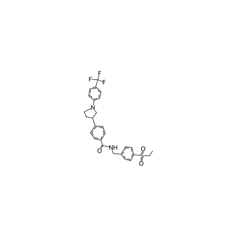 CCS(=O)(=O)c1ccc(CNC(=O)c2ccc(C3CCN(c4ccc(C(F)(F)F)cc4)C3)cc2)cc1